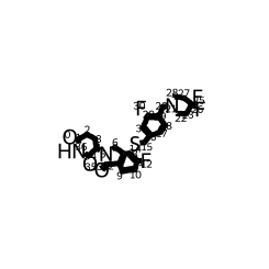 O=C1CCC(N2Cc3c(ccc(F)c3SCc3ccc(CN4CCC(F)(F)CC4)c(F)c3)C2=O)C(=O)N1